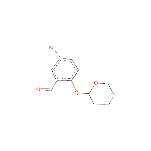 O=Cc1cc(Br)ccc1OC1CCCCO1